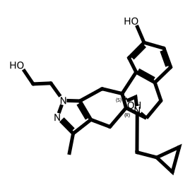 Cc1nn(CCO)c2c1C[C@]1(O)C3Cc4ccc(O)cc4[C@]1(CCN3CC1CC1)C2